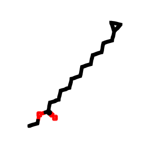 CCOC(=O)CCCCCCCCCCCCC1CC1